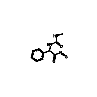 CNC(=O)N[C@@H](C(=O)N=O)c1ccccc1